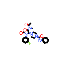 CC(=O)N(C)C1OC(=O)N(c2cccc(F)c2)C1N1CCN(c2nc3ccccc3o2)CC1